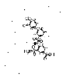 NS(=O)(=O)c1cc(C(=O)O)ccc1NS(=O)(=O)c1cccc(-c2ccc(Cl)c(Cl)c2)c1